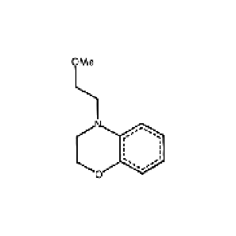 COCCN1CCOc2ccccc21